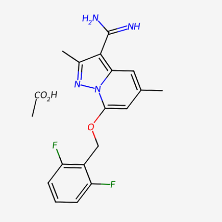 CC(=O)O.Cc1cc(OCc2c(F)cccc2F)n2nc(C)c(C(=N)N)c2c1